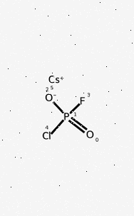 O=P([O-])(F)Cl.[Cs+]